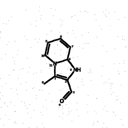 CC1=C(C=O)NC2C=CC=CN12